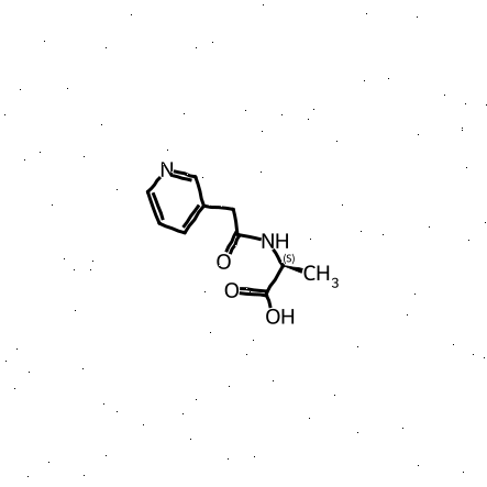 C[C@H](NC(=O)Cc1cccnc1)C(=O)O